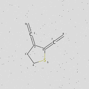 C=C=C1CCSC1=C=C